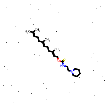 CC(C)=CCC/C(C)=C/CC/C(C)=C/COC(=S)NCCN1CCCCC1